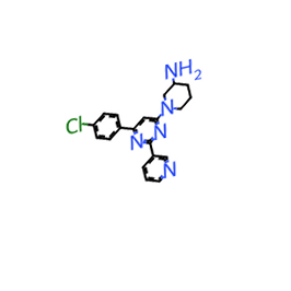 NC1CCCN(c2cc(-c3ccc(Cl)cc3)nc(-c3cccnc3)n2)C1